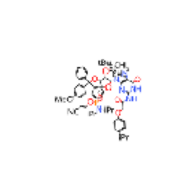 COc1ccc(C(OC2C(O[Si](C)(C)C(C)(C)C)[C@H](n3cnc4c(=O)[nH]c(NC(=O)COc5ccc(C(C)C)cc5)nc43)O[C@@H]2COP(OCCC#N)N(C(C)C)C(C)C)(c2ccccc2)c2ccccc2)cc1